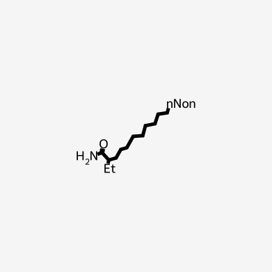 CCCCCCCCCCCCCCCCCCC(CC)C(N)=O